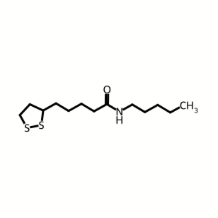 CCCCCNC(=O)CCCCC1CCSS1